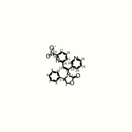 O=C1OC[C@@H](c2ccccc2)N1C(=[C]c1cccc([N+](=O)[O-])n1)c1cccnc1